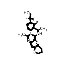 Cc1nc(N[C@H](C)c2cccc(C(F)(F)CO)c2F)c2cc3c(cc2n1)OCCC3